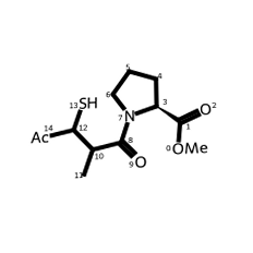 COC(=O)[C@@H]1CCCN1C(=O)C(C)C(S)C(C)=O